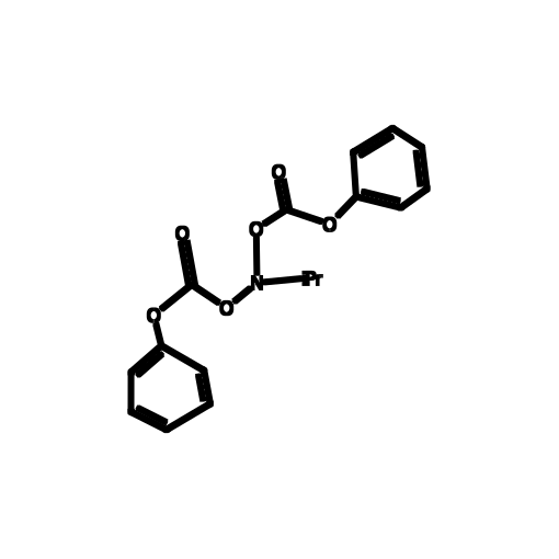 CC(C)N(OC(=O)Oc1ccccc1)OC(=O)Oc1ccccc1